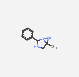 CC12CNC(c3ccccc3)N1N2